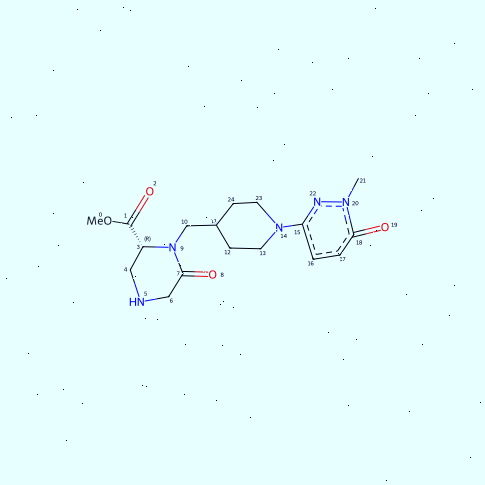 COC(=O)[C@H]1CNCC(=O)N1CC1CCN(c2ccc(=O)n(C)n2)CC1